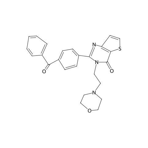 O=C(c1ccccc1)c1ccc(-c2nc3ccsc3c(=O)n2CCN2CCOCC2)cc1